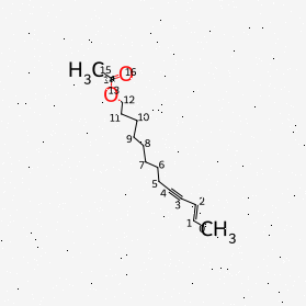 CC=CC#CCCCCCCCCOC(C)=O